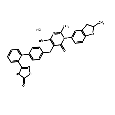 CCCc1nc(C)n(-c2ccc3c(c2)CC(C)O3)c(=O)c1Cc1ccc(-c2ccccc2-c2noc(=O)[nH]2)cc1.Cl